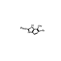 CCCC(C)c1nc2ccc(C(C)C)c(O)c2[nH]1